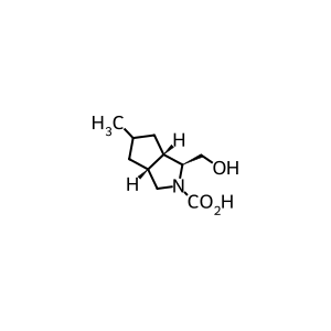 CC1C[C@H]2CN(C(=O)O)[C@H](CO)[C@H]2C1